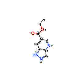 CCOC(=O)c1cnc2cn[nH]c2c1